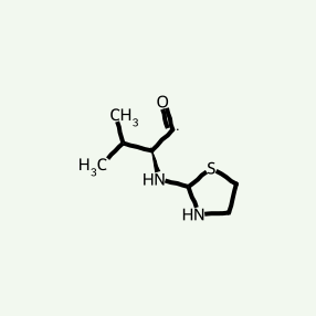 CC(C)[C@@H]([C]=O)NC1NCCS1